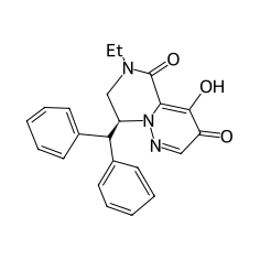 CCN1C[C@H](C(c2ccccc2)c2ccccc2)n2ncc(=O)c(O)c2C1=O